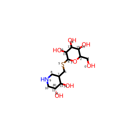 OCC1OC(SCC2CNC[C@@H](O)C2O)C(O)C(O)C1O